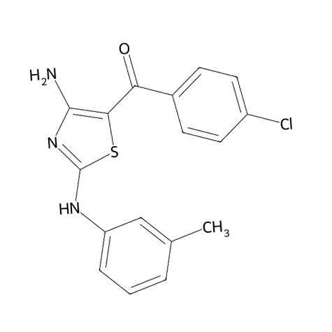 Cc1cccc(Nc2nc(N)c(C(=O)c3ccc(Cl)cc3)s2)c1